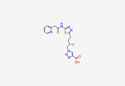 O=C(Cc1ccccn1)Nc1nnc(CCC(F)Cn2cc(C(=O)O)nn2)s1